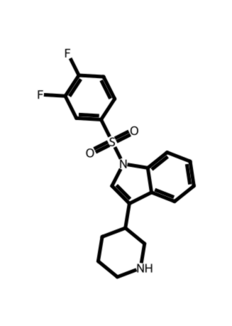 O=S(=O)(c1ccc(F)c(F)c1)n1cc(C2CCCNC2)c2ccccc21